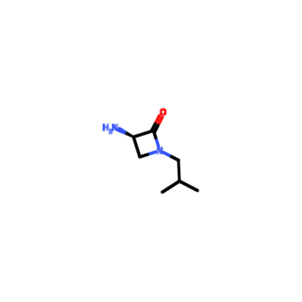 CC(C)CN1C[C@@H](N)C1=O